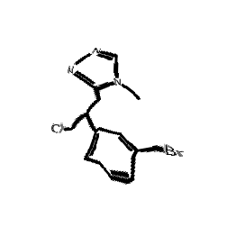 Cn1cnnc1C(Cl)c1cccc(Br)c1